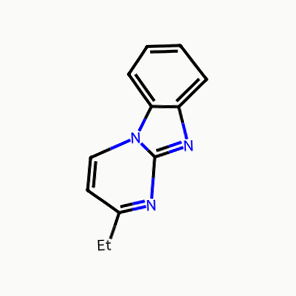 CCc1ccn2c(n1)nc1ccccc12